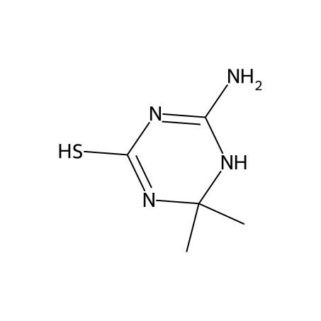 CC1(C)N=C(S)N=C(N)N1